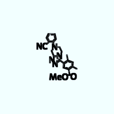 COC(=O)c1cc(-c2nnc3n2CCN(c2ccccc2C#N)C3)c(C)cc1C